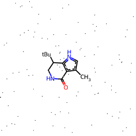 Cc1c[nH]c2c1C(=O)NCC2C(C)(C)C